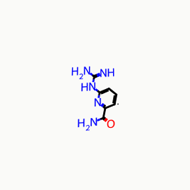 N=C(N)Nc1cc[c]c(C(N)=O)n1